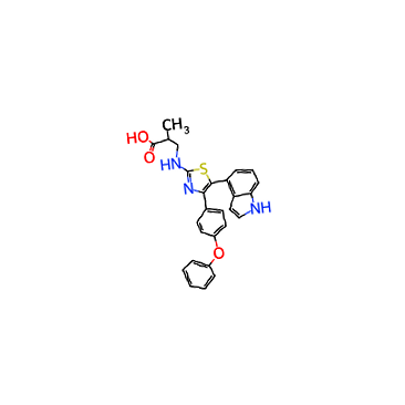 CC(CNc1nc(-c2ccc(Oc3ccccc3)cc2)c(-c2cccc3[nH]ccc23)s1)C(=O)O